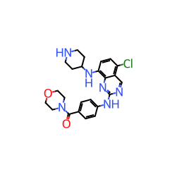 O=C(c1ccc(Nc2ncc3c(Cl)ccc(NC4CCNCC4)c3n2)cc1)N1CCOCC1